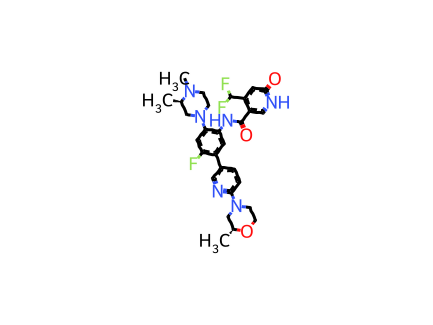 C[C@@H]1CN(c2ccc(-c3cc(NC(=O)c4c[nH]c(=O)cc4C(F)F)c(N4CCN(C)[C@H](C)C4)cc3F)cn2)CCO1